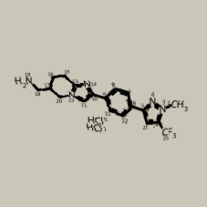 Cl.Cl.Cn1nc(-c2ccc(-c3cn4c(n3)CCC(CN)C4)cc2)cc1C(F)(F)F